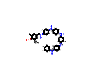 Cc1cc(CNc2ccc(Nc3ccc(Nc4ccc(Nc5ccc(Nc6ccccc6)cc5)cc4)cc3)cc2)cc(C(C)(C)C)c1O